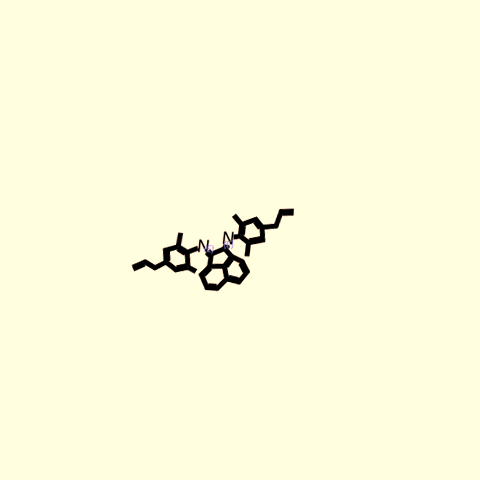 C=CCc1cc(C)c(/N=C2/C(=N/c3c(C)cc(CC=C)cc3C)c3cccc4cccc2c34)c(C)c1